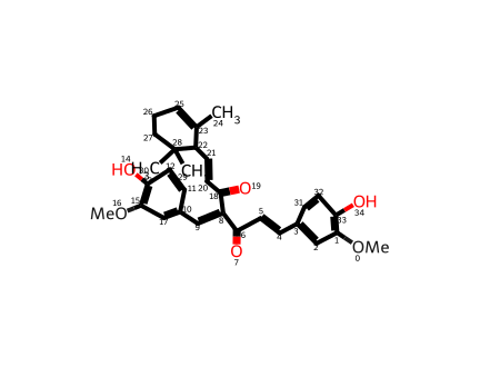 COc1cc(/C=C/C(=O)/C(=C/c2ccc(O)c(OC)c2)C(=O)/C=C/C2C(C)=CCCC2(C)C)ccc1O